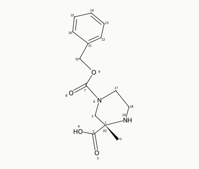 C[C@@]1(C(=O)O)CN(C(=O)OCc2ccccc2)CCN1